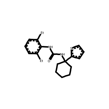 CCc1cccc(CC)c1NC(=O)NC1(c2cccs2)CCCCC1